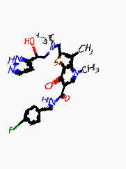 Cc1c(CN(C)CC(O)c2ccn[nH]2)sc2c(=O)c(C(=O)NCc3ccc(F)cc3)cn(C)c12